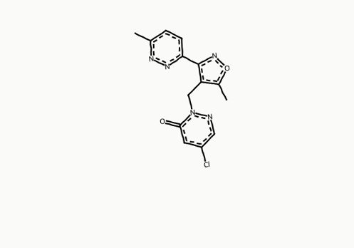 Cc1ccc(-c2noc(C)c2Cn2ncc(Cl)cc2=O)nn1